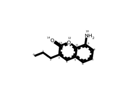 CCCc1cc2cccc(N)c2oc1=O